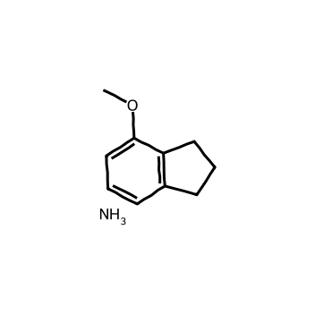 COc1cccc2c1CCC2.N